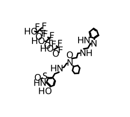 O=C(CCNCCc1nc2ccccc2[nH]1)N(CCNCCc1ccc(O)c2[nH]c(=O)sc12)C1CCCCC1.O=C(O)C(F)(F)F.O=C(O)C(F)(F)F.O=C(O)C(F)(F)F